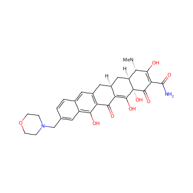 CN[C@@H]1C(O)=C(C(N)=O)C(=O)[C@@]2(O)C(O)=C3C(=O)c4c(cc5ccc(CN6CCOCC6)cc5c4O)C[C@H]3C[C@@H]12